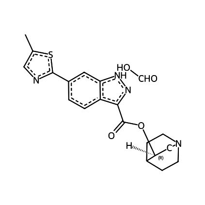 Cc1cnc(-c2ccc3c(C(=O)O[C@H]4CN5CCC4CC5)n[nH]c3c2)s1.O=CO